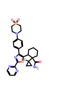 N#CC1(C2(C(N)=O)CCCCC2c2oc(-c3ncccn3)nc2-c2ccc(N3CCS(=O)(=O)CC3)cc2)CC1